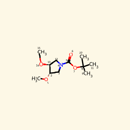 CO[C@H]1CN(C(=O)OC(C)(C)C)C[C@@H]1OC